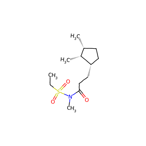 CCS(=O)(=O)N(C)C(=O)CC[C@H]1CC[C@@H](C)[C@H]1C